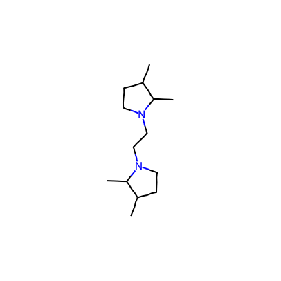 CC1CCN(CCN2CCC(C)C2C)C1C